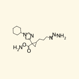 NN=NCCCC1CC1(C(=O)ON)c1cn(C2CCCCC2)cn1